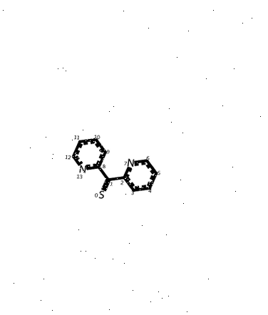 S=C(c1ccccn1)c1ccccn1